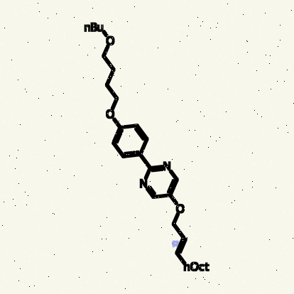 CCCCCCCC/C=C/COc1cnc(-c2ccc(OCCCCOCCCC)cc2)nc1